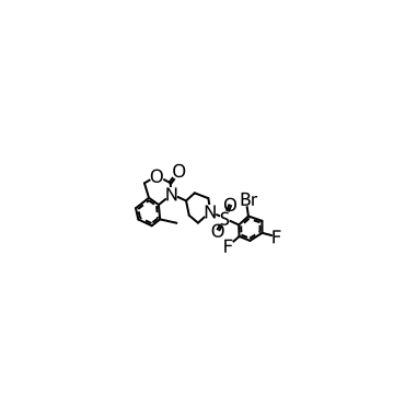 Cc1cccc2c1N(C1CCN(S(=O)(=O)c3c(F)cc(F)cc3Br)CC1)C(=O)OC2